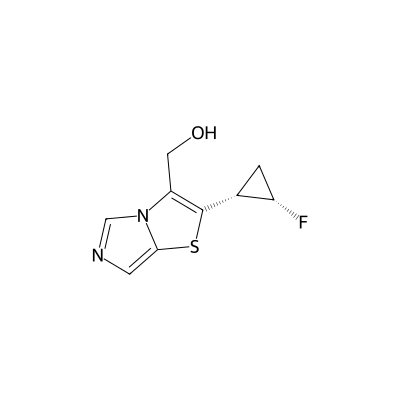 OCc1c([C@@H]2C[C@@H]2F)sc2cncn12